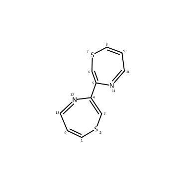 C1=CSC=C(C2=CSC=CC=N2)N=C1